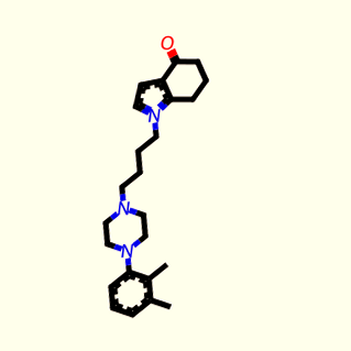 Cc1cccc(N2CCN(CCCCn3ccc4c3CCCC4=O)CC2)c1C